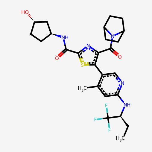 CC[C@H](Nc1cc(C)c(-c2sc(C(=O)N[C@H]3CC[C@H](O)C3)nc2C(=O)N2C3CCC2CC3)cn1)C(F)(F)F